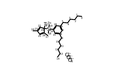 CCCCCCc1cc(CCCCCC)cc([Si](C)(C)[C]2([Ti+3])C=C(C)C=C2C)c1.[Cl-].[Cl-].[Cl-]